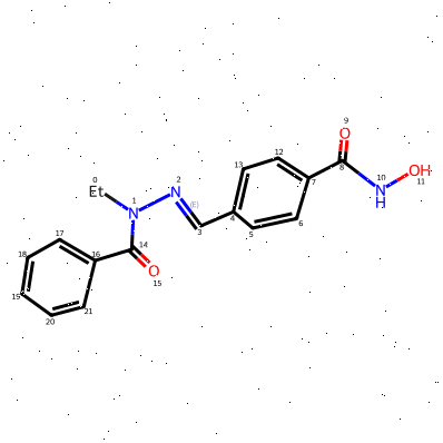 CCN(/N=C/c1ccc(C(=O)NO)cc1)C(=O)c1ccccc1